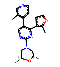 Cc1cnccc1-c1cnc(N2C[C@@H](C)O[C@@H](C)C2)nc1-c1ccoc1C